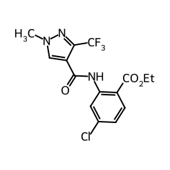 CCOC(=O)c1ccc(Cl)cc1NC(=O)c1cn(C)nc1C(F)(F)F